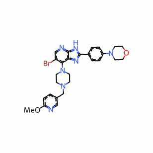 COc1ccc(CN2CCN(c3c(Br)cnc4[nH]c(-c5ccc(N6CCOCC6)cc5)nc34)CC2)cn1